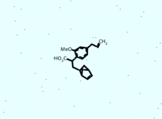 C=CCc1ccc(C(CC2CC3C=CC2C3)C(=O)O)c(OC)c1